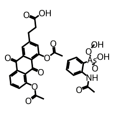 CC(=O)Nc1ccccc1[As](=O)(O)OO.CC(=O)Oc1cccc2c1C(=O)c1c(OC(C)=O)cc(CCC(=O)O)cc1C2=O